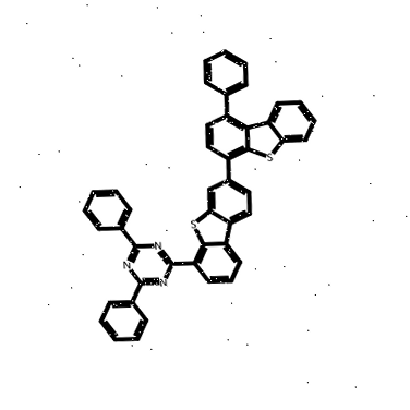 c1ccc(-c2nc(-c3ccccc3)nc(-c3cccc4c3sc3cc(-c5ccc(-c6ccccc6)c6c5sc5ccccc56)ccc34)n2)cc1